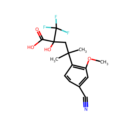 COc1cc(C#N)ccc1C(C)(C)CC(O)(C(=O)O)C(F)(F)F